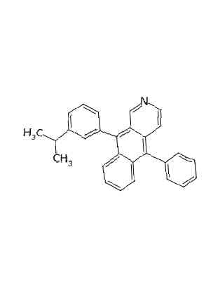 CC(C)c1cccc(-c2c3ccccc3c(-c3ccccc3)c3ccncc23)c1